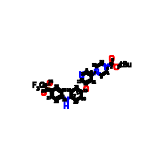 CC(C)(C)OC(=O)N1CCN(c2cncc(O[C@H]3CC[C@H](Nc4ccc(S(=O)(=O)C(F)(F)F)cc4)CC3)c2)CC1